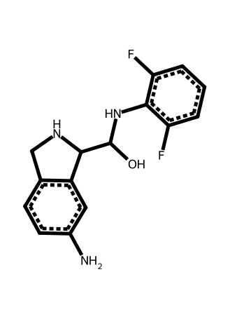 Nc1ccc2c(c1)C(C(O)Nc1c(F)cccc1F)NC2